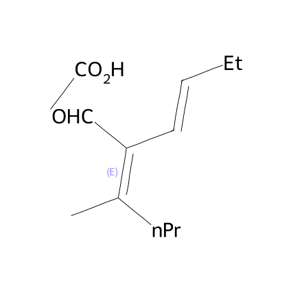 CC(=O)O.CCC=C/C(C=O)=C(/C)CCC